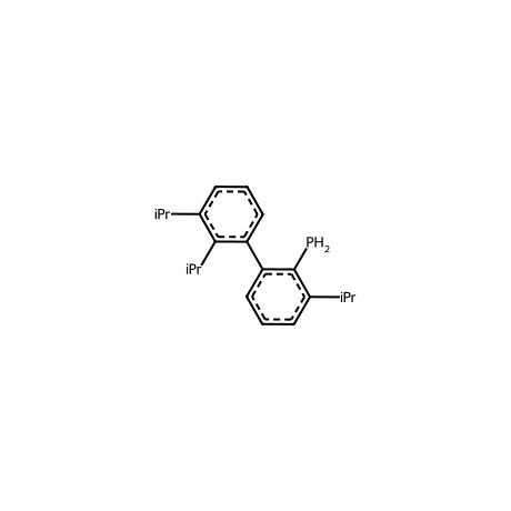 CC(C)c1cccc(-c2cccc(C(C)C)c2C(C)C)c1P